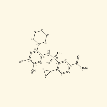 COC(=O)c1ccc(C2CC2)c(S(=O)(=O)Nc2cc(C#N)c(F)cc2N2CCCCC2)c1